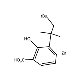 CC(C)(C)CC(C)(C)c1cccc(C(=O)O)c1O.[Zn]